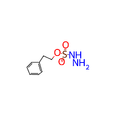 NNS(=O)(=O)OCCc1ccccc1